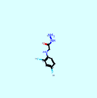 NNC(=O)CNc1ccc(F)cc1F